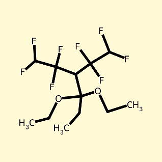 CCOC(CC)(OCC)C(C(F)(F)C(F)F)C(F)(F)C(F)F